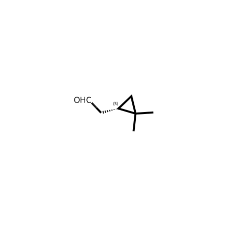 CC1(C)C[C@H]1CC=O